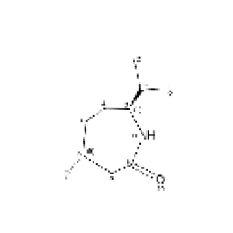 CC(C)[C@@H]1CC[C@@H](C)CC(=O)N1